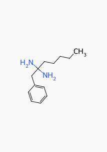 CCCCCC(N)(N)Cc1ccccc1